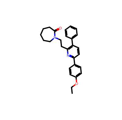 CCOc1ccc(-c2ccc(-c3ccccc3)c(CCN3CCCCCC3=O)n2)cc1